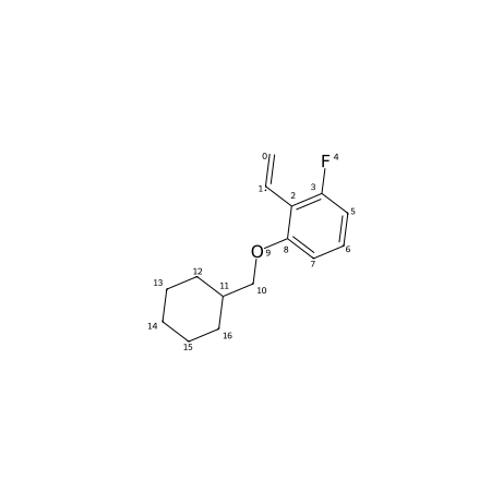 C=[C]c1c(F)cccc1OCC1CCCCC1